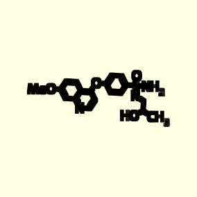 COc1ccc2c(Oc3ccc(S(N)(=O)=NCC(C)O)cc3)ccnc2c1